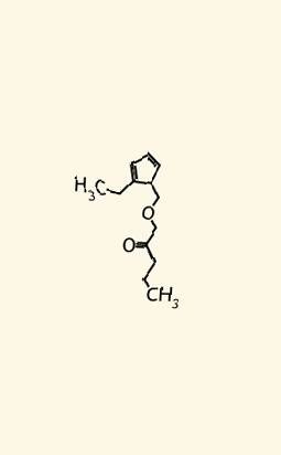 CCCC(=O)COCC1C=CC=C1CC